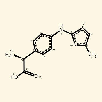 Cc1csc(Nc2ccc([C@H](C)C(=O)O)cc2)n1